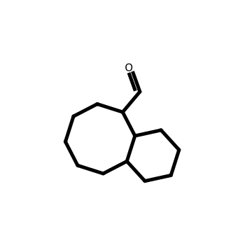 O=CC1CCCCCC2CCCCC12